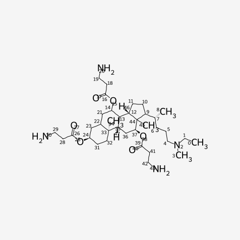 CCN(C)CCC[C@@H](C)C1CC[C@H]2C3C(OC(=O)CCN)CC4C[C@H](OC(=O)CCN)CC[C@]4(C)[C@H]3C[C@H](OC(=O)CCN)C12C